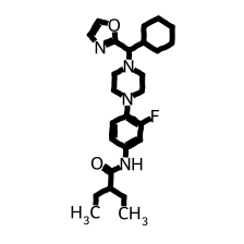 CCC(CC)C(=O)Nc1ccc(N2CCN(C(c3ncco3)C3CCCCC3)CC2)c(F)c1